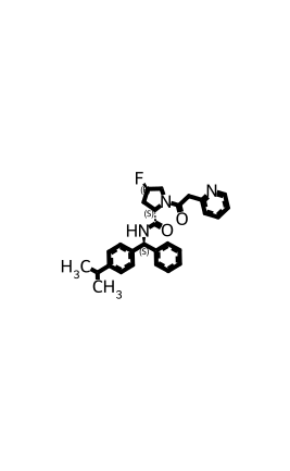 CC(C)c1ccc([C@@H](NC(=O)[C@@H]2C[C@@H](F)CN2C(=O)Cc2ccccn2)c2ccccc2)cc1